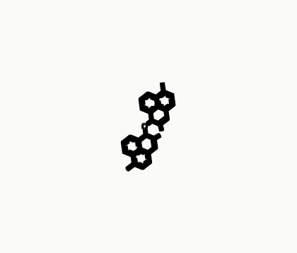 CC1=Cc2ccc(C)c3cccc(c23)C1OC1C(C)=Cc2ccc(C)c3cccc1c23